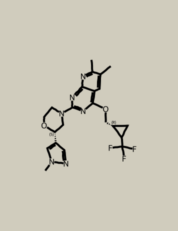 Cc1cc2c(OC[C@@H]3CC3C(F)(F)F)nc(N3CCO[C@@H](c4cnn(C)c4)C3)nc2nc1C